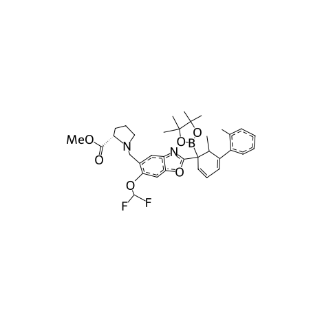 COC(=O)[C@@H]1CCCN1Cc1cc2nc(C3(B4OC(C)(C)C(C)(C)O4)C=CC=C(c4ccccc4C)C3C)oc2cc1OC(F)F